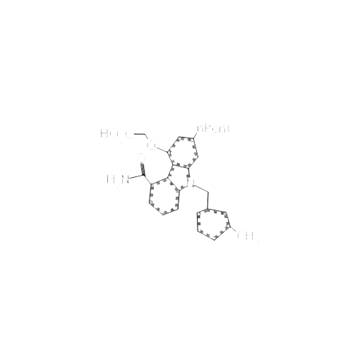 CCCCCc1cc(OCC(=O)O)c2c3c(C(N)=O)cccc3n(Cc3cccc(C)c3)c2c1